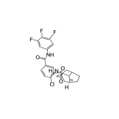 N[C@@H]1CC2CC[C@@H](C1)C2S(=O)(=O)c1cc(C(=O)Nc2cc(F)c(F)c(F)c2)ccc1Cl